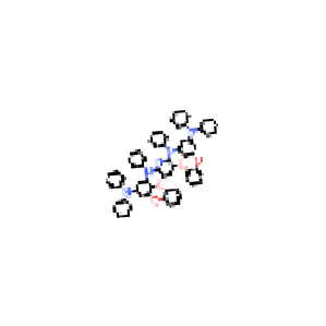 c1ccc(N(c2ccccc2)c2cc3c4c(c2)N(c2ccccc2)c2nc5c(cc2B4c2ccccc2O3)B2c3ccccc3Oc3cc(N(c4ccccc4)c4ccccc4)cc(c32)N5c2ccccc2)cc1